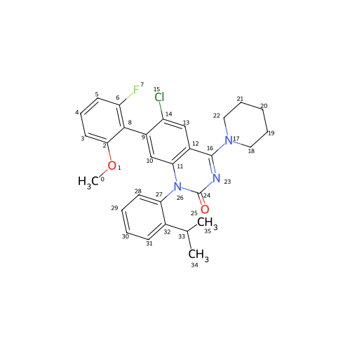 COc1cccc(F)c1-c1cc2c(cc1Cl)c(N1CCCCC1)nc(=O)n2-c1ccccc1C(C)C